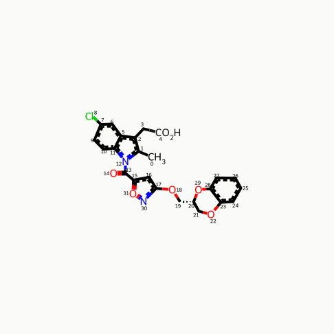 Cc1c(CC(=O)O)c2cc(Cl)ccc2n1C(=O)c1cc(OC[C@H]2COc3ccccc3O2)no1